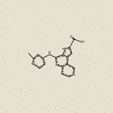 Cc1cc(Nc2nc3ccncc3c3cc(C(=O)O)[nH]c23)ccn1